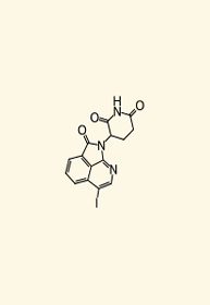 O=C1CCC(N2C(=O)c3cccc4c(I)cnc2c34)C(=O)N1